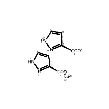 O=C([O-])c1cc[nH]n1.O=C([O-])c1cc[nH]n1.[Cu+2]